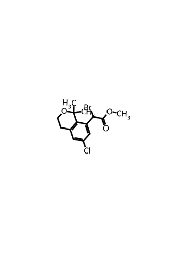 COC(=O)C(Br)c1cc(Cl)cc2c1C(C)(C)OCC2